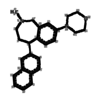 CN1CCC(c2ccc3ccccc3c2)c2ccc(N3CCOCC3)cc2C1